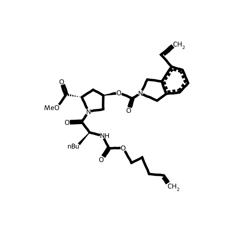 C=CCCCOC(=O)N[C@@H](CCCC)C(=O)N1C[C@H](OC(=O)N2Cc3cccc(C=C)c3C2)C[C@H]1C(=O)OC